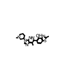 Cc1nc2c(O)c(-c3nnc4c(ncn4[C@@H]4CCCN(C)C4)c3C)ccc2s1